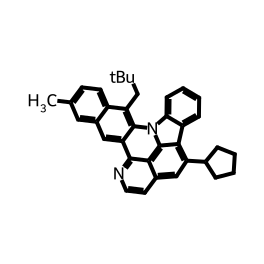 Cc1ccc2c(CC(C)(C)C)c3c(cc2c1)c1nccc2cc(C4CCCC4)c4c5ccccc5n3c4c21